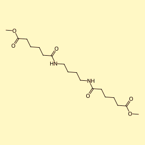 COC(=O)CCCCC(=O)NCCCCNC(=O)CCCCC(=O)OC